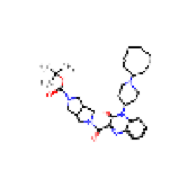 CC(C)(C)OC(=O)N1CC2CN(C(=O)c3nc4ccccc4n(C4CCN(C5CCCCCCC5)CC4)c3=O)CC2C1